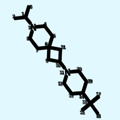 CC(C)N1CCC2(CC1)CC(N1CCC(C(C)(C)C)CC1)C2